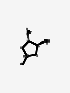 CC(C)[C@H]1CN(C)C[C@@H]1O